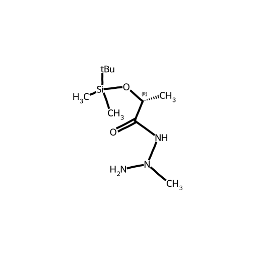 C[C@@H](O[Si](C)(C)C(C)(C)C)C(=O)NN(C)N